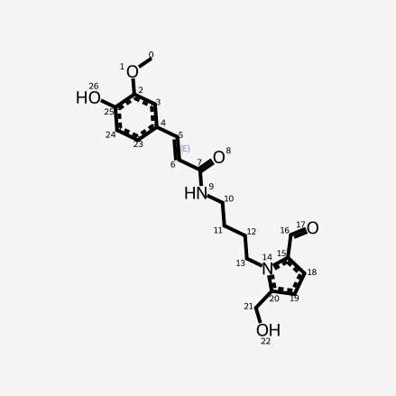 COc1cc(/C=C/C(=O)NCCCCn2c(C=O)ccc2CO)ccc1O